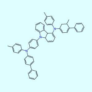 Cc1ccc(N(C2=CC=C(c3ccccc3)C(C)C2)C2=CC=CC3C2c2ccccc2N3c2ccc(N(c3ccc(C)cc3)c3ccc(-c4ccccc4)cc3)cc2)cc1